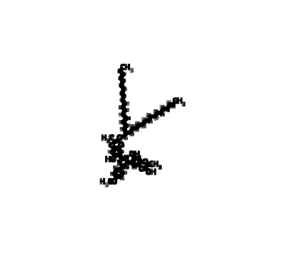 CCCCCCCCCCCCCCCCCCC(CCCCCCCCCCCCCCCC)COC(=O)C(C)Oc1ccc(-c2nc(-c3ccc(OC)cc3)nc(-c3ccc(OC(C)C(=O)O)cc3O)n2)c(O)c1